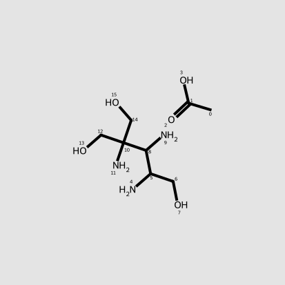 CC(=O)O.NC(CO)C(N)C(N)(CO)CO